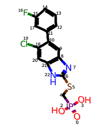 O=P(O)(O)CSc1nc2cc(-c3cccc(F)c3)c(Cl)cc2[nH]1